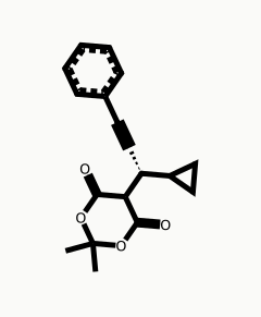 CC1(C)OC(=O)C([C@H](C#Cc2ccccc2)C2CC2)C(=O)O1